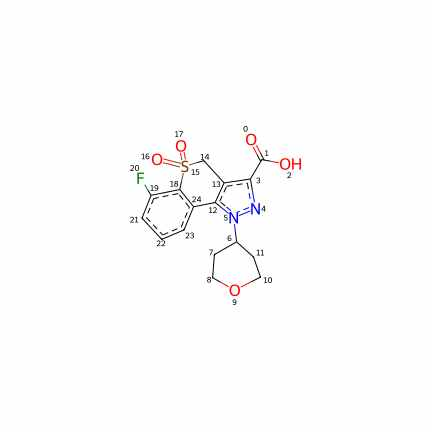 O=C(O)c1nn(C2CCOCC2)c2c1CS(=O)(=O)c1c(F)cccc1-2